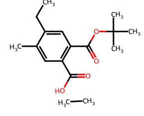 CC.CCc1cc(C(=O)OC(C)(C)C)c(C(=O)O)cc1C